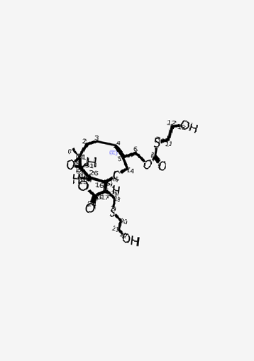 C[C@@]12CC/C=C(/COC(=O)SCCO)CC[C@H]3C(CSCCO)C(=O)O[C@@H]3[C@@H]1O2